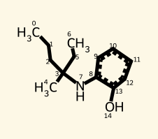 CCCC(C)(CC)Nc1ccccc1O